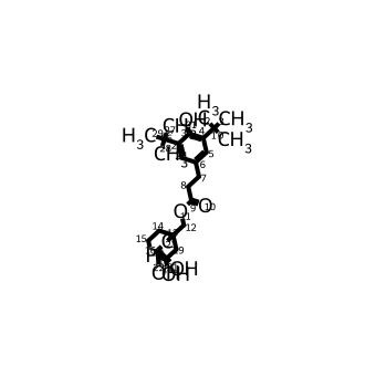 CC(C)(C)c1cc(CCC(=O)OCC23CCP(C(O)C2)C(O)(O)C3)cc(C(C)(C)C)c1O